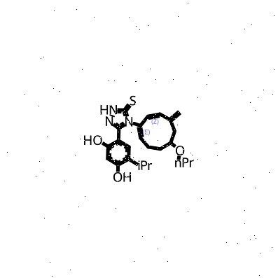 C=C1/C=C\C(n2c(-c3cc(C(C)C)c(O)cc3O)n[nH]c2=S)=C/CCC(OCCC)C1